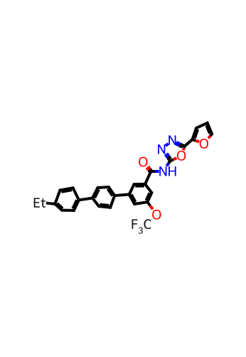 CCc1ccc(-c2ccc(-c3cc(OC(F)(F)F)cc(C(=O)Nc4nnc(-c5ccco5)o4)c3)cc2)cc1